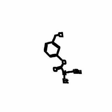 CCN(C(=O)Oc1cccc(CCl)c1)C(C)(C)C